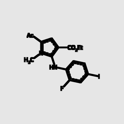 CCOC(=O)c1cc(C(C)=O)n(C)c1Nc1ccc(I)cc1F